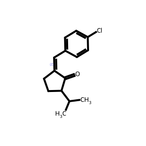 CC(C)C1CC/C(=C/c2ccc(Cl)cc2)C1=O